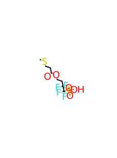 CSCCC(=O)OCCC(F)(F)C(F)(F)S(=O)(=O)O